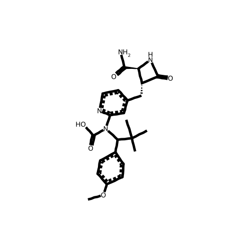 COc1ccc(C(N(C(=O)O)c2cc(C[C@H]3C(=O)N[C@@H]3C(N)=O)ccn2)C(C)(C)C)cc1